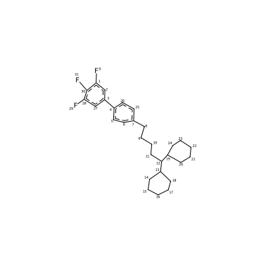 Fc1cc(-c2ccc(CCCCC(C3CCCCC3)C3CCCCC3)cc2)cc(F)c1F